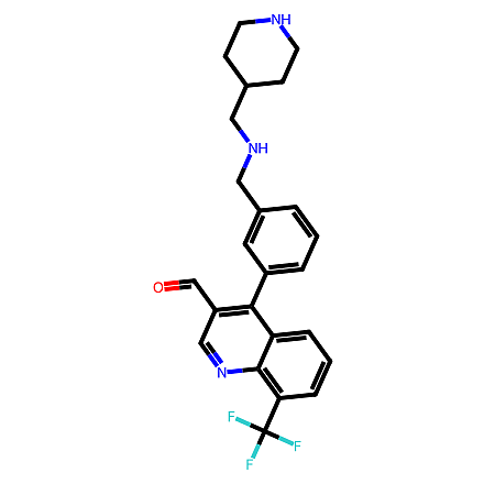 O=Cc1cnc2c(C(F)(F)F)cccc2c1-c1cccc(CNCC2CCNCC2)c1